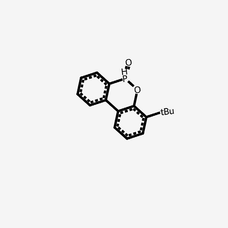 CC(C)(C)c1cccc2c1O[PH](=O)c1ccccc1-2